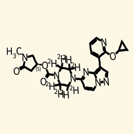 [2H]C1([2H])N(C(=O)O[C@H]2CC(=O)N(C)C2)C([2H])([2H])C([2H])([2H])N(c2ccn3ncc(-c4cccnc4OC4CC4)c3n2)C1([2H])[2H]